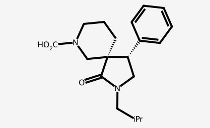 CC(C)CN1C[C@@H](c2ccccc2)[C@@]2(CCCN(C(=O)O)C2)C1=O